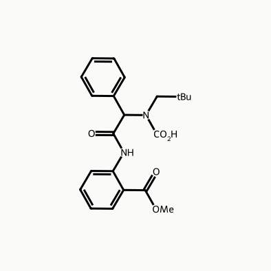 COC(=O)c1ccccc1NC(=O)C(c1ccccc1)N(CC(C)(C)C)C(=O)O